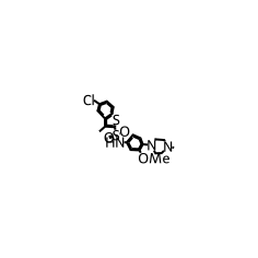 COc1cc(NS(=O)(=O)c2sc3ccc(Cl)cc3c2C)ccc1N1CCN(C)CC1